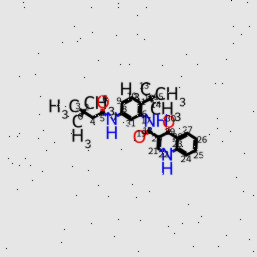 CC(C)(C)CC(=O)Nc1ccc(C(C)(C)C)c(NC(=O)c2c[nH]c3ccccc3c2=O)c1